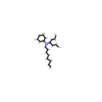 CCCCCCCCN(C(CCC)CCC)C1CCCCC1